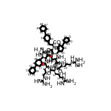 N=C(N)NCCC[C@H](NC(=O)[C@H](CCCNC(=N)N)NC(=O)[C@H](CCCNC(=N)N)NC(=O)[C@@H](N)CCCNC(=N)N)C(=O)N[C@@H](Cc1ccc(-c2ccccc2)cc1)C(=O)N[C@@H](Cc1ccc(-c2ccccc2)cc1)C(=O)N[C@@H](Cc1ccc(-c2ccccc2)cc1)C(=O)O